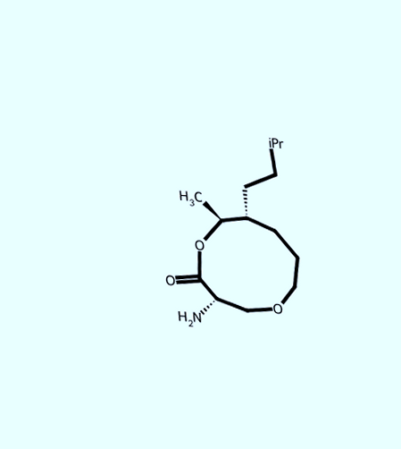 CC(C)CC[C@@H]1CCCOC[C@H](N)C(=O)O[C@H]1C